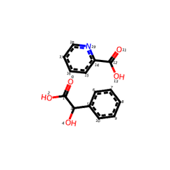 O=C(O)C(O)c1ccccc1.O=C(O)c1ccccn1